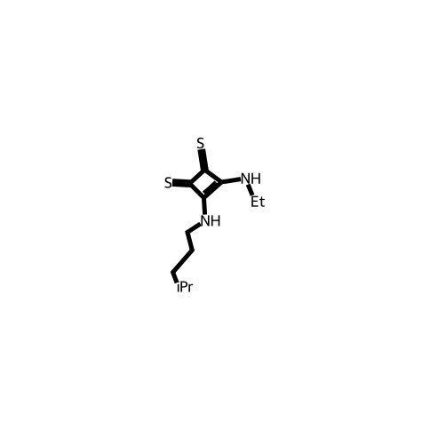 CCNc1c(NCCCC(C)C)c(=S)c1=S